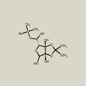 CC1(C)O[C@@]2(O)[C@@H](C(O)O[Si](C)(C)C(C)(C)C)OC(O)[C@@]2(O)O1